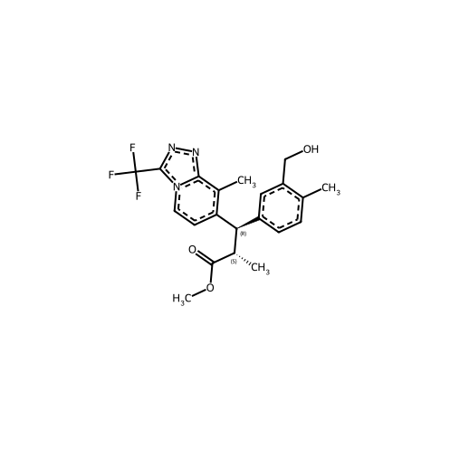 COC(=O)[C@@H](C)[C@H](c1ccc(C)c(CO)c1)c1ccn2c(C(F)(F)F)nnc2c1C